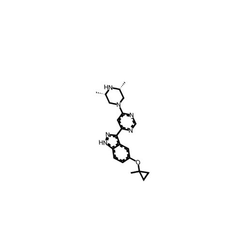 C[C@@H]1CN(c2cc(-c3n[nH]c4ccc(OC5(C)CC5)cc34)ncn2)C[C@H](C)N1